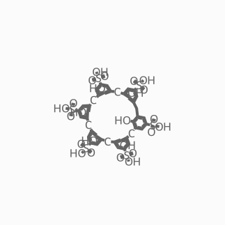 O=S(=O)(O)c1cc2c(O)c(c1)Cc1cc(S(=O)(=O)O)cc(c1O)Cc1cc(S(=O)(=O)O)cc(c1O)Cc1cc(S(=O)(=O)O)cc(c1O)Cc1cc(S(=O)(=O)O)cc(c1O)Cc1cc(S(=O)(=O)O)cc(c1O)C2